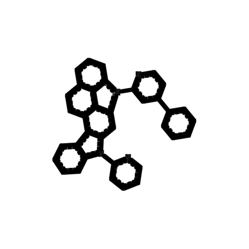 c1ccc(-c2ccnc(-n3c4cccc5ccc6c7c8ccccc8n(-c8ccccn8)c7cc3c6c54)c2)cc1